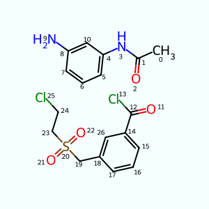 CC(=O)Nc1cccc(N)c1.O=C(Cl)c1cccc(CS(=O)(=O)CCCl)c1